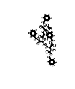 CC(=O)N[C@H](CCC(=O)N[C@H](CSC[C@H](NC(=O)OCc1ccccc1)C(=O)OCc1ccccc1)C(=O)OCc1ccccc1)C(=O)OCc1ccccc1